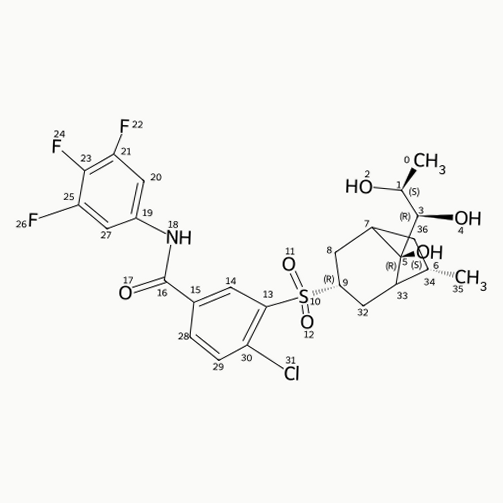 C[C@H](O)[C@@H](O)[C@@]1(O)C2C[C@@H](S(=O)(=O)c3cc(C(=O)Nc4cc(F)c(F)c(F)c4)ccc3Cl)CC1[C@@H](C)C2